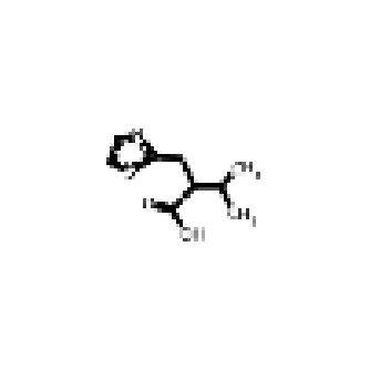 CC(C)C(Cc1nccs1)C(=O)O